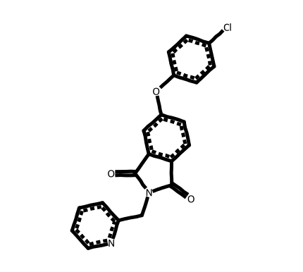 O=C1c2ccc(Oc3ccc(Cl)cc3)cc2C(=O)N1Cc1ccccn1